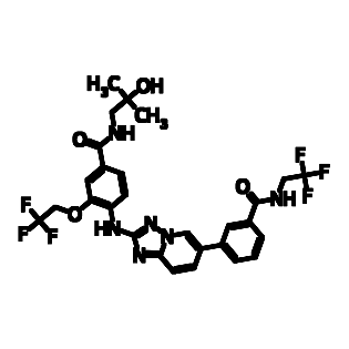 CC(C)(O)CNC(=O)c1ccc(Nc2nc3ccc(-c4cccc(C(=O)NCC(F)(F)F)c4)cn3n2)c(OCC(F)(F)F)c1